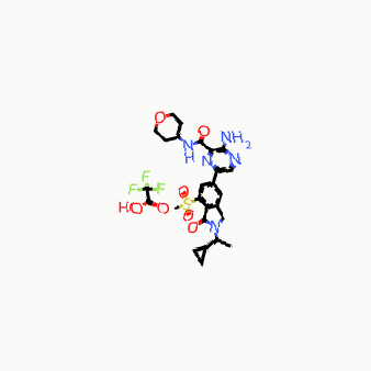 CC(C1CC1)N1Cc2cc(-c3cnc(N)c(C(=O)NC4CCOCC4)n3)cc(S(C)(=O)=O)c2C1=O.O=C(O)C(F)(F)F